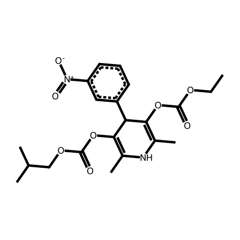 CCOC(=O)OC1=C(C)NC(C)=C(OC(=O)OCC(C)C)C1c1cccc([N+](=O)[O-])c1